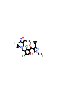 Cc1noc(C)c1CN(Cc1c(Cl)ccc(C(=O)c2c(C3CC3)nn(C)c2O)c1Cl)C1CC1